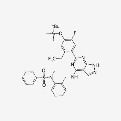 CN(c1ccccc1CNc1nc(-c2cc(F)c(O[Si](C)(C)C(C)(C)C)cc2CC(F)(F)F)nc2[nH]ncc12)S(=O)(=O)c1ccccc1